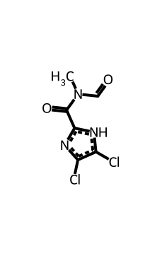 CN(C=O)C(=O)c1nc(Cl)c(Cl)[nH]1